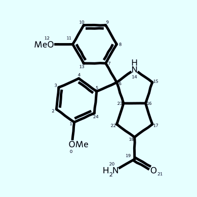 COc1cccc(C2(c3cccc(OC)c3)NCC3CC(C(N)=O)CC32)c1